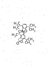 CC(C)c1cc(-c2cc3c(C(C)C)ccc(C(C)C)c3o2)c(C(C)C)c2c1OC(=O)C2